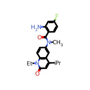 CCn1c(=O)cc(C(C)C)c2cc(N(C)C(=O)c3ccc(F)cc3N)ccc21